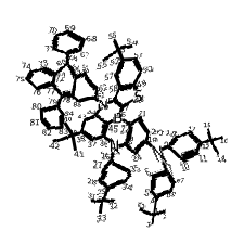 CC(C)(C)c1ccc(N(c2ccc(C(C)(C)C)cc2)c2ccc3c(c2)N(c2ccc(C(C)(C)C)cc2)c2cc(C(C)(C)C)cc4c2B3c2sc3ccc(C(C)(C)C)cc3c2N4c2ccc3c(-c4ccccc4)c4ccccc4c(-c4ccccc4)c3c2)cc1